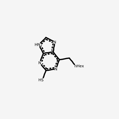 CCCCCCCc1nc(S)nc2[nH]cnc12